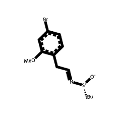 COc1cc(Br)ccc1C/C=N/[S@+]([O-])C(C)(C)C